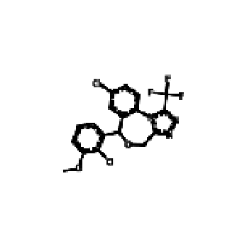 COc1cccc(C2OCc3nnc(C(F)(F)F)n3-c3ccc(Cl)cc32)c1Cl